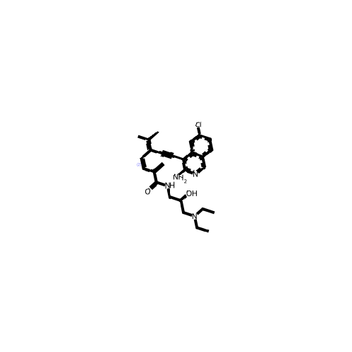 C=C(/C=C\C(C#Cc1c(N)ncc2ccc(Cl)cc12)=C(C)C)C(=O)NCC(O)CN(CC)CC